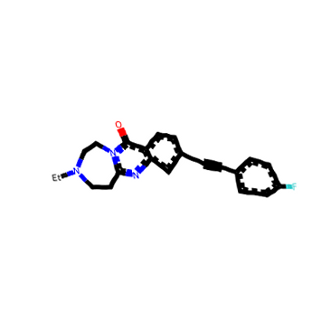 CCN1CCc2nc3cc(C#Cc4ccc(F)cc4)ccc3c(=O)n2CC1